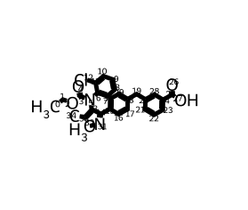 CCOC(=O)N(c1ccccc1Cl)c1c(-c2ccc(Cc3cccc(C(=O)O)c3)cc2)noc1C